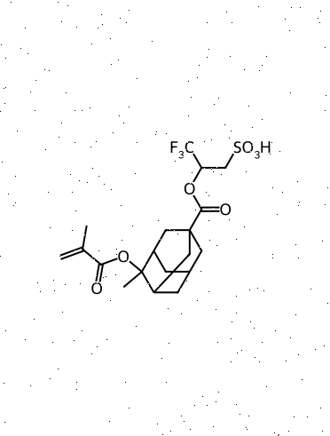 C=C(C)C(=O)OC1(C)C2CC3CC1CC(C(=O)OC(CS(=O)(=O)O)C(F)(F)F)(C3)C2